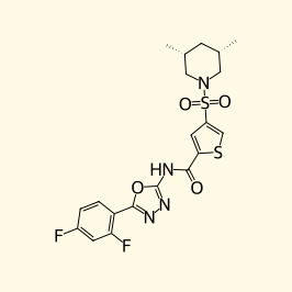 C[C@@H]1C[C@H](C)CN(S(=O)(=O)c2csc(C(=O)Nc3nnc(-c4ccc(F)cc4F)o3)c2)C1